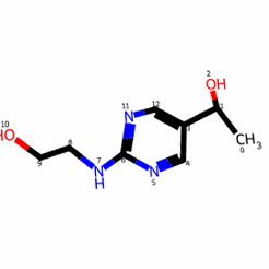 CC(O)c1cnc(NCCO)nc1